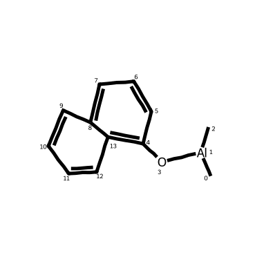 [CH3][Al]([CH3])[O]c1[c]ccc2ccccc12